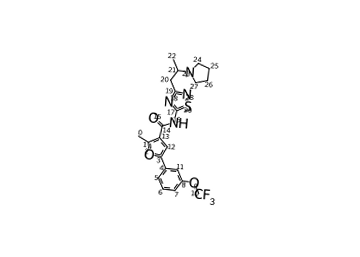 Cc1oc(-c2cccc(OC(F)(F)F)c2)cc1C(=O)Nc1nc(CC(C)N2CCCC2)ns1